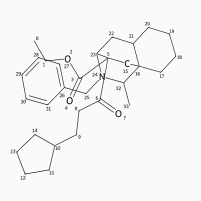 CCOC(=O)C1(C(=O)CCC2CCCC2)CC23CCCCC2CC1N(Cc1ccccc1)C3C